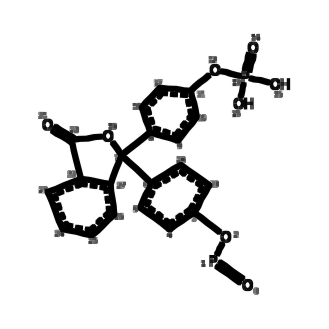 O=POc1ccc(C2(c3ccc(OP(=O)(O)O)cc3)OC(=O)c3ccccc32)cc1